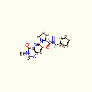 CCn1c(C)nc2ccc(N3CCCC3C(=O)NCc3ccccc3)nc2c1=O